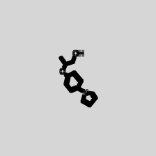 CC(CO)Oc1ccc(-n2cccc2)cc1